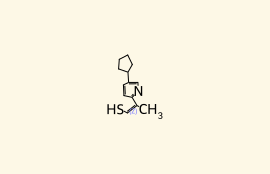 C/C(=C/S)c1ccc(C2CCCC2)cn1